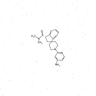 CN(C)C(=O)[C@H]1CC2(CCN(c3cc(N)ccn3)CC2)c2ccccc21